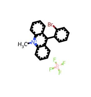 C[n+]1c2ccccc2c(-c2ccccc2Br)c2ccccc21.F[B-](F)(F)F